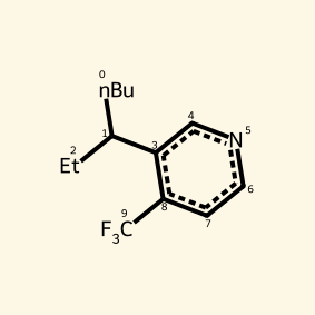 CCCCC(CC)c1cnccc1C(F)(F)F